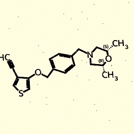 C#Cc1cscc1OCc1ccc(CN2C[C@@H](C)O[C@@H](C)C2)cc1